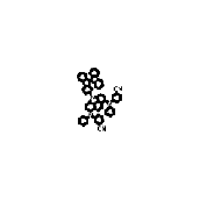 N#Cc1cccc(N(c2ccccc2)c2ccc3c4c2ccc2c(N(c5ccccc5)c5cccc(C#N)c5)ccc(c24)n3-c2ccc3c(c2)C(c2ccccc2)(c2ccccc2)c2ccccc2-3)c1